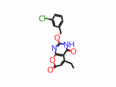 CCc1cc(=O)oc2nc(OCc3cccc(Cl)c3)[nH]c(=O)c12